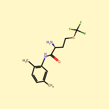 Cc1ccc(C)c(NC(=O)[C@@H](N)CCSC(F)(F)F)c1